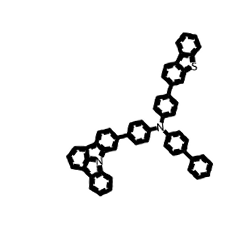 c1ccc(-c2ccc(N(c3ccc(-c4ccc5c(c4)sc4ccccc45)cc3)c3ccc(-c4ccc5c6cccc7c8ccccc8n(c5c4)c76)cc3)cc2)cc1